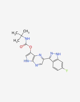 CC(C)(C)NC(=O)Oc1c[nH]c2ncc(-c3n[nH]c4cc(F)ccc34)nc12